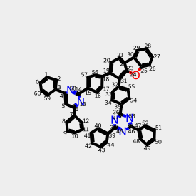 c1ccc(-c2cc(-c3ccccc3)nc(-c3ccc(-c4ccc5c(oc6ccccc65)c4-c4ccc(-c5nc(-c6ccccc6)nc(-c6ccccc6)n5)cc4)cc3)n2)cc1